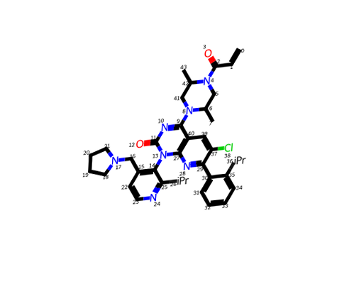 C=CC(=O)N1CC(C)N(c2nc(=O)n(-c3c(CN4CCCC4)ccnc3C(C)C)c3nc(-c4ccccc4C(C)C)c(Cl)cc23)CC1C